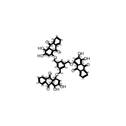 O=C1c2ccccc2C(=O)c2c(O)c(O)cc(OCc3cc(COc4cc(O)c(O)c5c4C(=O)c4ccccc4C5=O)cc(COc4cc(O)c(O)c5c4C(=O)c4ccccc4C5=O)c3)c21